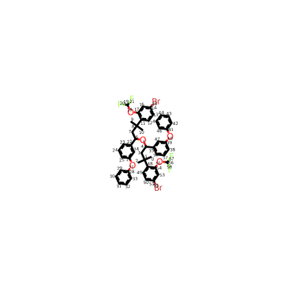 CC(C)(CC(OC(CC(C)(C)c1ccc(Br)cc1OC(F)F)c1cccc(Oc2ccccc2)c1)c1cccc(Oc2ccccc2)c1)c1ccc(Br)cc1OC(F)F